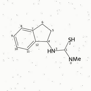 CNC(S)NC1CCc2ccccc21